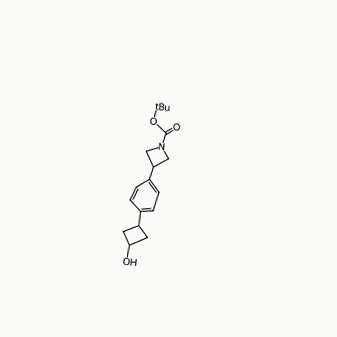 CC(C)(C)OC(=O)N1CC(c2ccc(C3CC(O)C3)cc2)C1